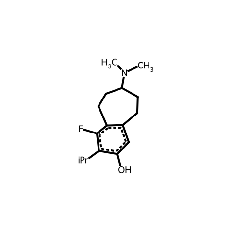 CC(C)c1c(O)cc2c(c1F)CCC(N(C)C)CC2